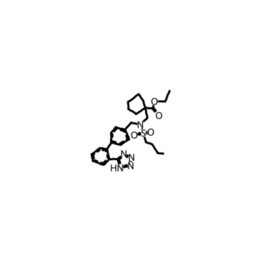 CCCCS(=O)(=O)N(Cc1ccc(-c2ccccc2-c2nnn[nH]2)cc1)CC1(C(=O)OCC)CCCCC1